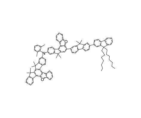 CCCCCCCC1(CCCCCCC)c2ccccc2-c2ccc(-c3ccc4c(c3)C(C)(C)c3cc(-c5cc6c(c7c5oc5ccccc57)-c5ccc(N(c7ccc8c(c7)C(C)(C)c7c9c(c%10oc%11ccccc%11c%10c7-8)-c7ccccc7C9(C)C)c7c(C)cccc7C)cc5C6(C)C)ccc3-4)cc21